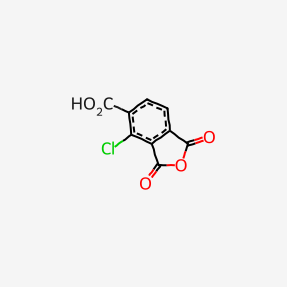 O=C(O)c1ccc2c(c1Cl)C(=O)OC2=O